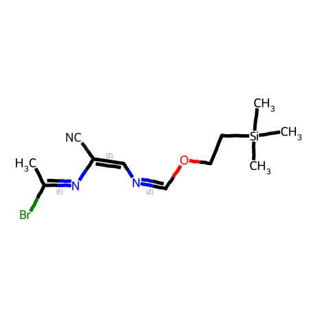 C\C(Br)=N/C(C#N)=C\N=C/OCC[Si](C)(C)C